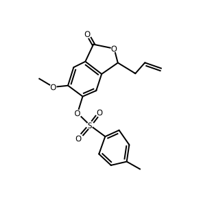 C=CCC1OC(=O)c2cc(OC)c(OS(=O)(=O)c3ccc(C)cc3)cc21